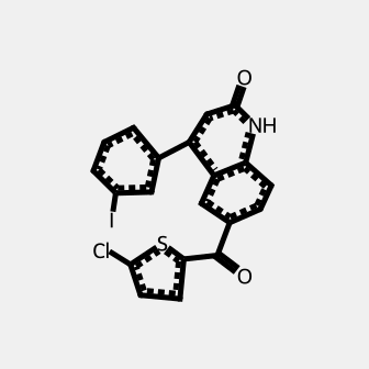 O=C(c1ccc2[nH]c(=O)cc(-c3cccc(I)c3)c2c1)c1ccc(Cl)s1